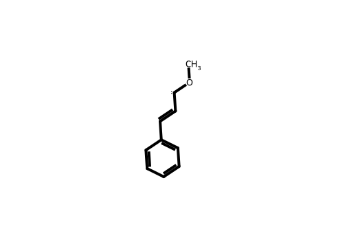 CO[C]C=Cc1ccccc1